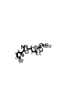 CC[C@@H](CCc1nnc(-c2cccc(Br)n2)o1)NC(=O)OC(C)(C)C